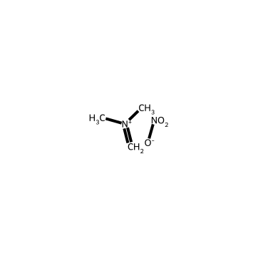 C=[N+](C)C.O=[N+]([O-])[O-]